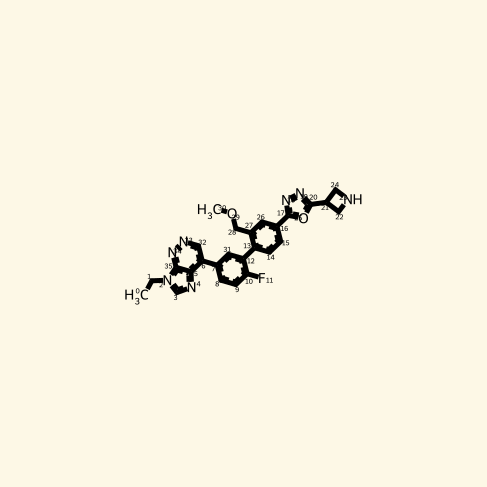 CCn1cnc2c(-c3ccc(F)c(-c4ccc(-c5nnc(C6CNC6)o5)cc4COC)c3)cnnc21